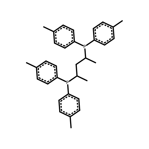 Cc1ccc(P(c2ccc(C)cc2)C(C)CC(C)P(c2ccc(C)cc2)c2ccc(C)cc2)cc1